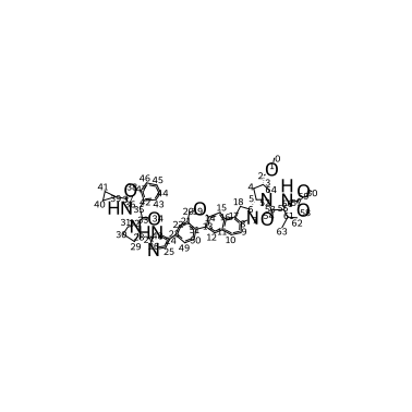 COC[C@H]1C[C@@H](C2=Nc3ccc4cc5c(cc4c3C2)OCc2cc(-c3cnc([C@@H]4CCCN4C(=O)[C@H](NC(=O)C4CC4)c4ccccc4)[nH]3)ccc2-5)N(C(=O)[C@@H](NC(=O)OC)C(C)C)C1